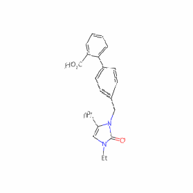 CCCc1cn(CC)c(=O)n1Cc1ccc(-c2ccccc2C(=O)O)cc1